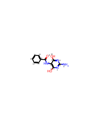 Nc1nc(O)c(NC(=O)c2ccccc2)c(O)n1